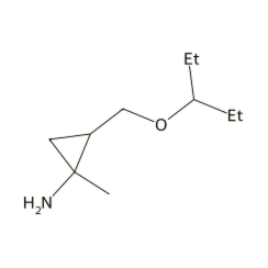 CCC(CC)OCC1CC1(C)N